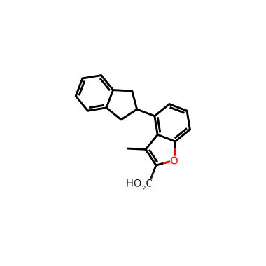 Cc1c(C(=O)O)oc2cccc(C3Cc4ccccc4C3)c12